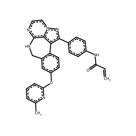 C=CC(=O)Nc1ccc(-c2nn3ccnc4c3c2-c2ccc(Oc3cccc(C)n3)cc2CN4)cc1